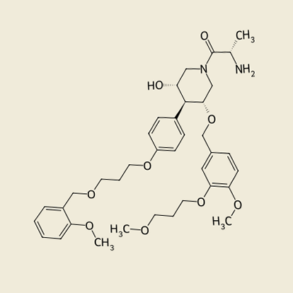 COCCCOc1cc(CO[C@H]2CN(C(=O)[C@H](C)N)C[C@@H](O)[C@@H]2c2ccc(OCCCOCc3ccccc3OC)cc2)ccc1OC